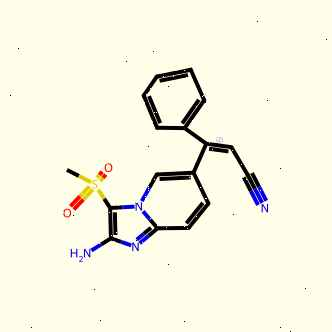 CS(=O)(=O)c1c(N)nc2ccc(/C(=C\C#N)c3ccccc3)cn12